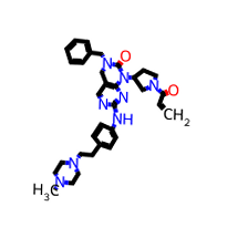 C=CC(=O)N1CCC(N2C(=O)N(Cc3ccccc3)Cc3cnc(Nc4ccc(CCN5CCN(C)CC5)cc4)nc32)C1